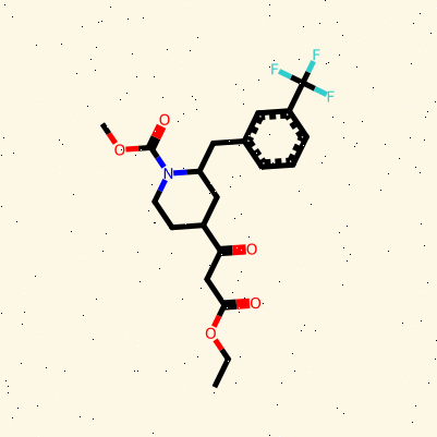 CCOC(=O)CC(=O)C1CCN(C(=O)OC)C(Cc2cccc(C(F)(F)F)c2)C1